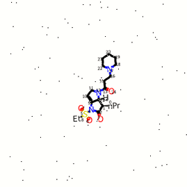 CCC[C@H]1C(=O)N(S(=O)(=O)CC)C2=CCN(C(=O)CCN3CCCCC3)[C@@H]21